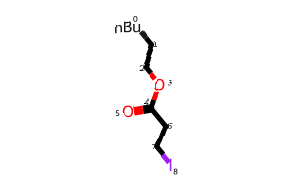 CCCCCCOC(=O)CCI